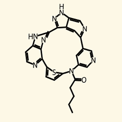 CCCCC(=O)n1c2cncc(c2)c2cc3c(cn2)[nH]nc3c2nc3c(ccnc3c3ccc1s3)[nH]2